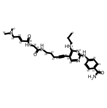 CCCNc1nc(Nc2ccc(C(N)=O)cc2)ncc1C#CCCCNC(=O)CNC(=O)/C=C/CN(C)C